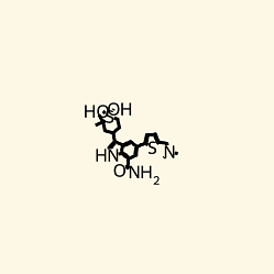 CN(C)Cc1ccc(-c2cc(C(N)=O)c3[nH]cc(C4CCS(O)(O)C(C)(C)C4)c3c2)s1